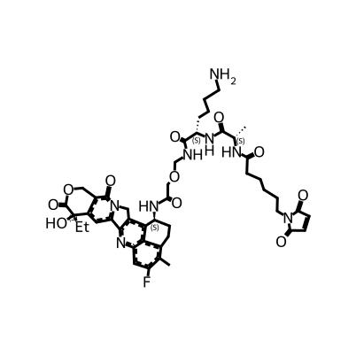 CC[C@@]1(O)C(=O)OCc2c1cc1n(c2=O)Cc2c-1nc1cc(F)c(C)c3c1c2[C@@H](NC(=O)COCNC(=O)[C@H](CCCCN)NC(=O)[C@H](C)NC(=O)CCCCCN1C(=O)C=CC1=O)CC3